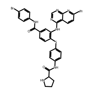 CC(C)c1ccc2c(Nc3cc(C(=O)Nc4ccc(Br)cc4)ccc3Sc3ccc(NC(=O)C4CCCN4)cc3)ncnc2n1